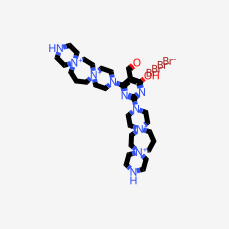 O=Cc1c(O)nc(N2CC[N+]3(CCC[N+]4(CCNCC4)CC3)CC2)nc1N1CC[N+]2(CCC[N+]3(CCNCC3)CC2)CC1.[Br-].[Br-].[Br-].[Br-]